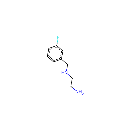 NCCNCc1cccc(F)c1